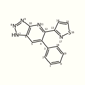 c1ccc(-c2cc3[nH]nnc3nc2-c2ccsn2)cc1